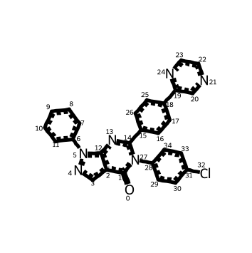 O=c1c2cnn(-c3ccccc3)c2nc(-c2ccc(-c3cnccn3)cc2)n1-c1ccc(Cl)cc1